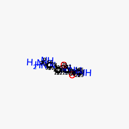 N=C(N)NC1CCN(Cc2cccc(-n3ccc(NC(=O)N4CCNCC4)nc3=O)c2)CC1